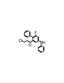 Fc1cc(Nc2ccccc2)cc(NCCCl)c1-c1ccccc1